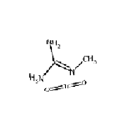 CN=C(N)N.[O]=[Ti]=[O]